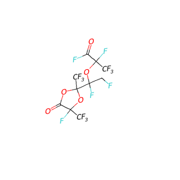 O=C(F)C(F)(OC(F)(CF)C1(C(F)(F)F)OC(=O)C(F)(C(F)(F)F)O1)C(F)(F)F